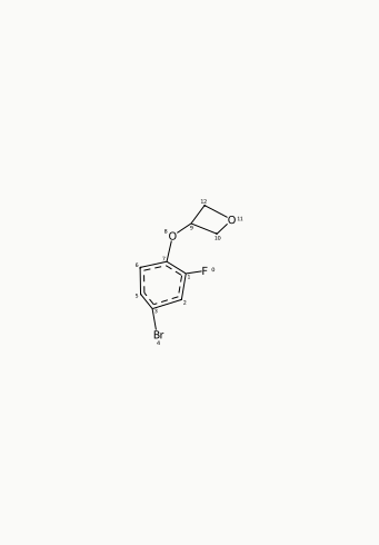 Fc1cc(Br)ccc1OC1COC1